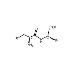 CC(C)[C@@H](NC(=O)[C@@H](N)CS)C(=O)O